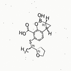 C[C@@H](Sc1ccc2c(c1C(=O)O)OB(O)[C@@H]1C[C@H]21)[C@@H]1CCCO1